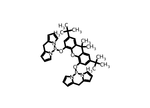 CC(C)(C)c1cc(OP2n3cccc3Cc3cccn32)c2c(c1)C(C)(C)c1cc(C(C)(C)C)cc(OP3n4cccc4Cc4cccn43)c1O2